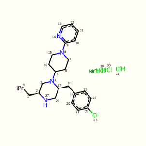 CC(C)C[C@H]1CN(C2CCN(c3ccccn3)CC2)[C@@H](Cc2ccc(Cl)cc2)CN1.Cl.Cl.Cl.Cl